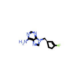 Nc1ncnc2c1ncn2C[C@H]1C=C(F)CC1